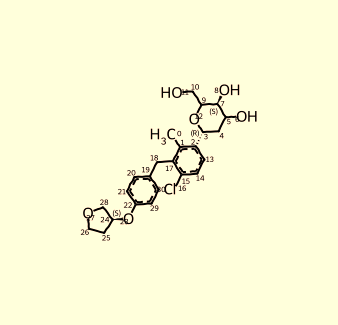 Cc1c([C@H]2CC(O)[C@H](O)C(CO)O2)ccc(Cl)c1Cc1ccc(O[C@H]2CCOC2)cc1